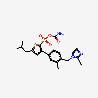 Cc1cc(-c2cc(CC(C)C)sc2S(=O)(=O)OC(N)=O)ccc1Cn1ccnc1C